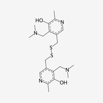 Cc1ncc(CSSCc2cnc(C)c(O)c2CN(C)C)c(CN(C)C)c1O